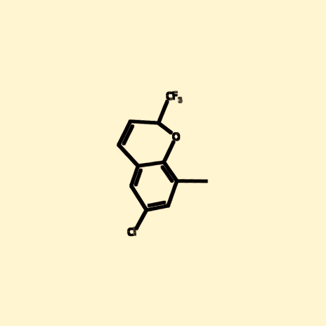 Cc1cc(Cl)cc2c1OC(C(F)(F)F)C=C2